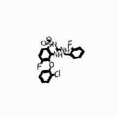 O=S1(=O)N=C(NCc2ccccc2F)Nc2c1ccc(F)c2Oc1ccccc1Cl